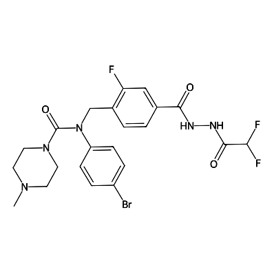 CN1CCN(C(=O)N(Cc2ccc(C(=O)NNC(=O)C(F)F)cc2F)c2ccc(Br)cc2)CC1